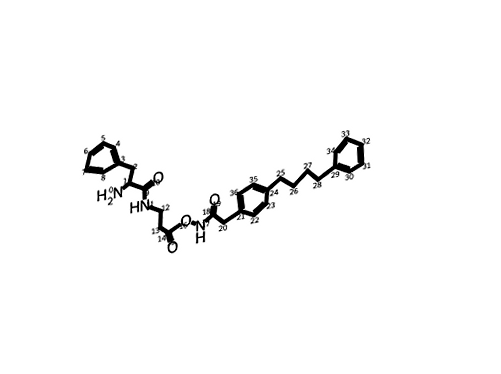 NC(Cc1ccccc1)C(=O)NCCC(=O)ONC(=O)Cc1ccc(CCCCc2ccccc2)cc1